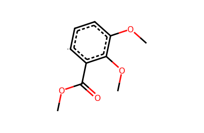 COC(=O)c1[c]ccc(OC)c1OC